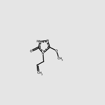 C=CCn1c(OC)n[nH]c1=O